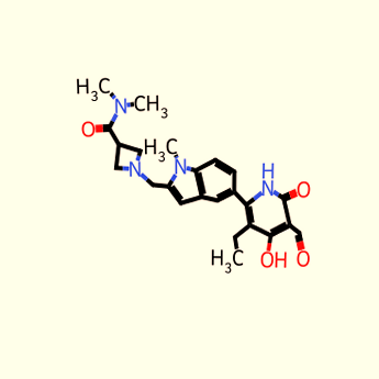 CCc1c(-c2ccc3c(c2)cc(CN2CC(C(=O)N(C)C)C2)n3C)[nH]c(=O)c(C=O)c1O